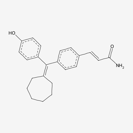 NC(=O)C=Cc1ccc(C(=C2CCCCCC2)c2ccc(O)cc2)cc1